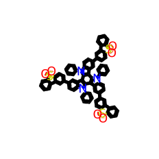 O=S1(=O)c2ccccc2-c2cc(-c3ccc4c(c3)c3c(c5c6cc(-c7ccc8c(c7)-c7ccccc7S8(=O)=O)ccc6n(-c6ccccc6)c5c5c6cc(-c7ccc8c(c7)-c7ccccc7S8(=O)=O)ccc6n(-c6ccccc6)c35)n4-c3ccccc3)ccc21